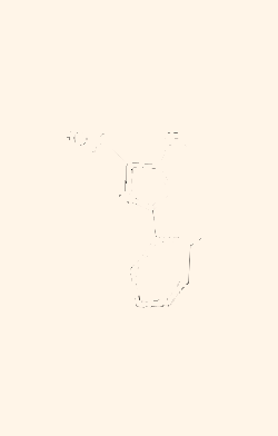 O=C(O)c1nc(-c2ccccc2F)oc1C(F)(F)F